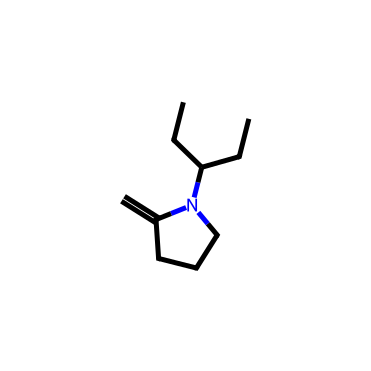 C=C1CCCN1C(CC)CC